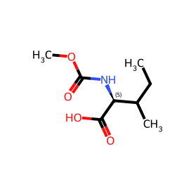 CCC(C)[C@H](NC(=O)OC)C(=O)O